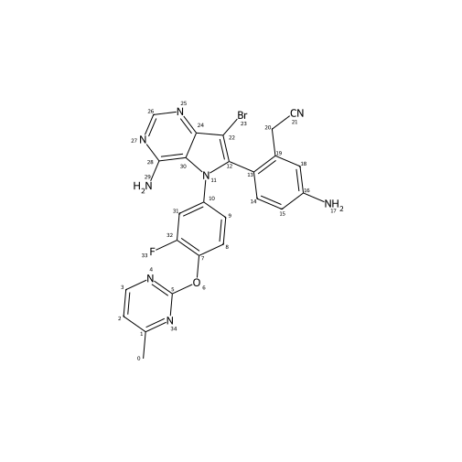 Cc1ccnc(Oc2ccc(-n3c(-c4ccc(N)cc4CC#N)c(Br)c4ncnc(N)c43)cc2F)n1